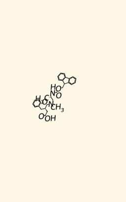 C[C@@H](CN(C)C(=O)[C@@H](CC(=O)O)Cc1ccccc1)NC(=O)OCC1c2ccccc2-c2ccccc21